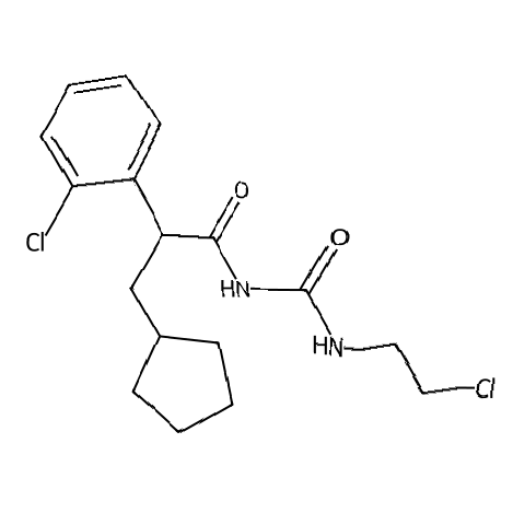 O=C(NCCCl)NC(=O)C(CC1CCCC1)c1ccccc1Cl